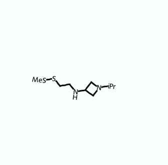 CSSCCNC1CN(C(C)C)C1